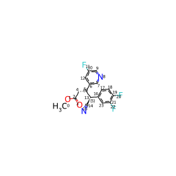 COC(=O)C[C@H](c1cncc(F)c1)[C@H](C#N)c1ccc(F)c(F)c1